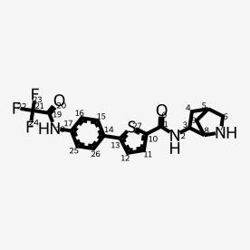 O=C(NC1CC2CNC1C2)c1ccc(-c2ccc(NC(=O)C(F)(F)F)cc2)s1